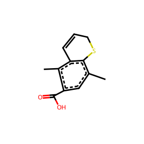 Cc1cc(C(=O)O)c(C)c2c1SCC=C2